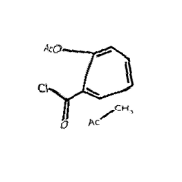 CC(=O)Oc1ccccc1C(=O)Cl.CC(C)=O